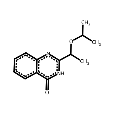 CC(C)OC(C)c1nc2ccccc2c(=O)[nH]1